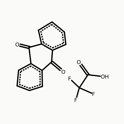 O=C(O)C(F)(F)F.O=C1c2ccccc2C(=O)c2ccccc21